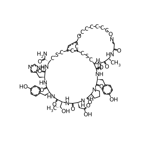 C[C@@H]1NC(=O)/C=N/OCCCCCCOc2cc3cc(c2)CSC[C@H](NC1=O)C(=O)N[C@@H](Cc1ccc(O)cc1)C(=O)N1CCC[C@H]1C(=O)N[C@@H](CC(=O)O)C(=O)N[C@@H]([C@@H](C)O)C(=O)N[C@@H](Cc1ccc(O)cc1)C(=O)N[C@@H](Cc1cnc[nH]1)C(=O)N[C@H](C(N)=O)CSC3